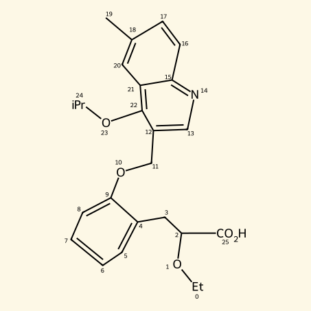 CCOC(Cc1ccccc1OCc1cnc2ccc(C)cc2c1OC(C)C)C(=O)O